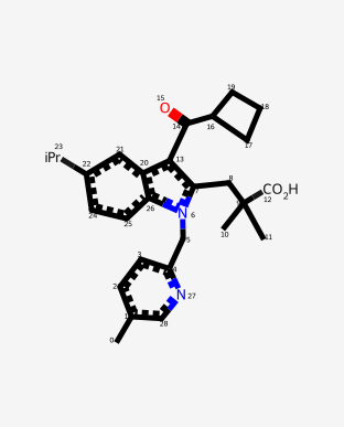 Cc1ccc(Cn2c(CC(C)(C)C(=O)O)c(C(=O)C3CCC3)c3cc(C(C)C)ccc32)nc1